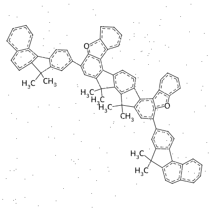 CC1(C)c2cc(-c3cc4c(c5c3oc3ccccc35)-c3ccc5c(c3C4(C)C)C(C)(C)c3cc(-c4ccc6c(c4)C(C)(C)c4ccc7ccccc7c4-6)c4oc6ccccc6c4c3-5)ccc2-c2c1ccc1ccccc21